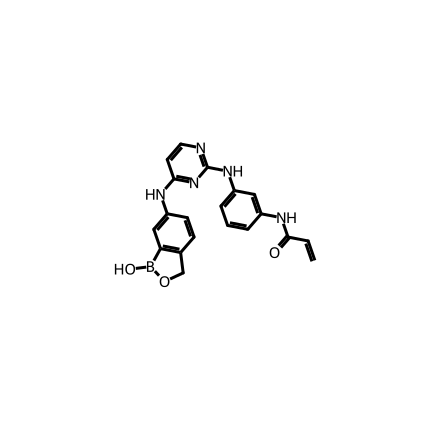 C=CC(=O)Nc1cccc(Nc2nccc(Nc3ccc4c(c3)B(O)OC4)n2)c1